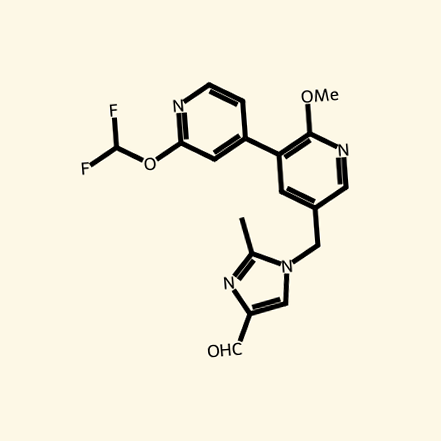 COc1ncc(Cn2cc(C=O)nc2C)cc1-c1ccnc(OC(F)F)c1